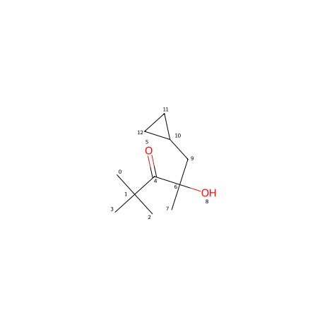 CC(C)(C)C(=O)C(C)(O)CC1CC1